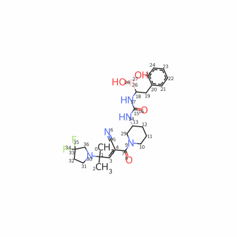 CC(C)(C=C(C#N)C(=O)N1CCC[C@@H](NC(=O)NC(Cc2ccccc2)B(O)O)C1)N1CCC(F)(F)C1